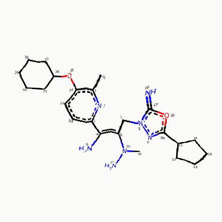 Cc1nc(/C(N)=C(\Cn2nc(C3CCCC3)oc2=N)N(C)N)ccc1OC1CCCCC1